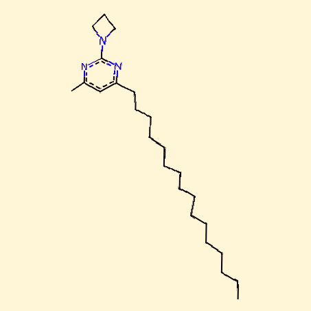 CCCCCCCCCCCCCCCCc1cc(C)nc(N2CCC2)n1